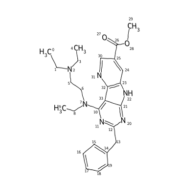 CCN(CC)CCN(CC)c1nc(Cc2ccccc2)nc2[nH]c3cc(C(=O)OC)cnc3c12